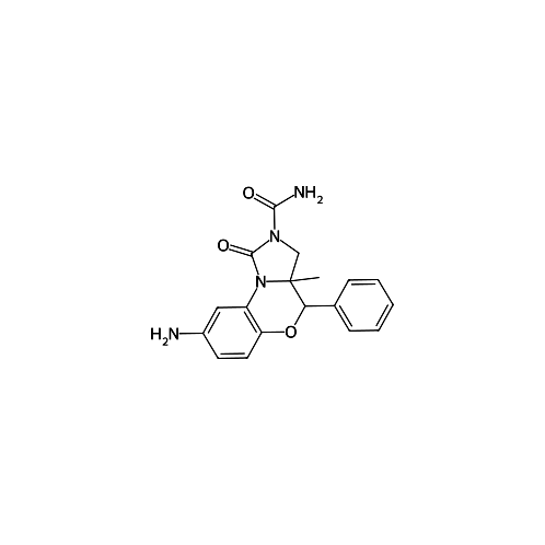 CC12CN(C(N)=O)C(=O)N1c1cc(N)ccc1OC2c1ccccc1